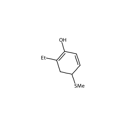 CCC1=C(O)C=CC(SC)C1